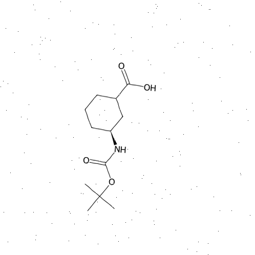 CC(C)(C)OC(=O)N[C@H]1CCCC(C(=O)O)C1